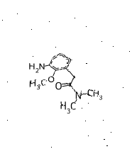 COc1c(N)cccc1CC(=O)N(C)C